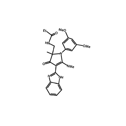 CCC(=O)NCC1(C)C(=O)C(c2nc3ccccc3[nH]2)=C(NC)N1c1cc(OC)cc(OC)c1